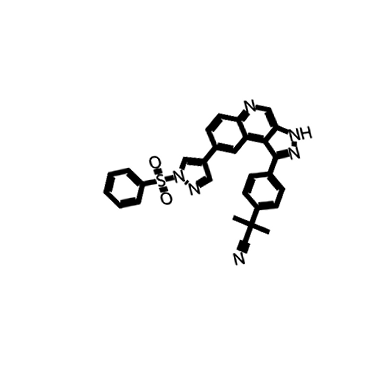 CC(C)(C#N)c1ccc(-c2n[nH]c3cnc4ccc(-c5cnn(S(=O)(=O)c6ccccc6)c5)cc4c23)cc1